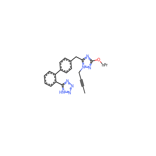 CC#CCn1nc(OCCC)nc1Cc1ccc(-c2ccccc2-c2nnn[nH]2)cc1